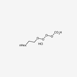 CCCCCCCCOOOOC(=O)O.Cl